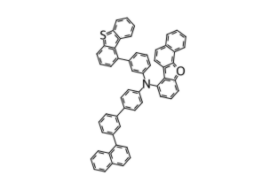 c1cc(-c2ccc(N(c3cccc(-c4cccc5sc6ccccc6c45)c3)c3cccc4oc5c6ccccc6ccc5c34)cc2)cc(-c2cccc3ccccc23)c1